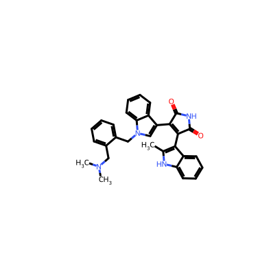 Cc1[nH]c2ccccc2c1C1=C(c2cn(Cc3ccccc3CN(C)C)c3ccccc23)C(=O)NC1=O